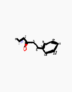 C/C=C/C(=O)CCc1ccccc1